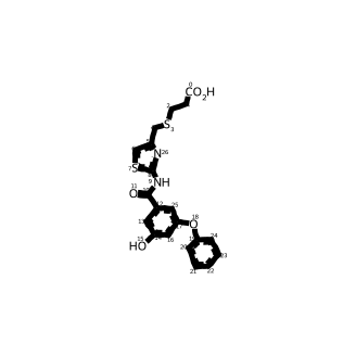 O=C(O)CCSCc1csc(NC(=O)c2cc(O)cc(Oc3ccccc3)c2)n1